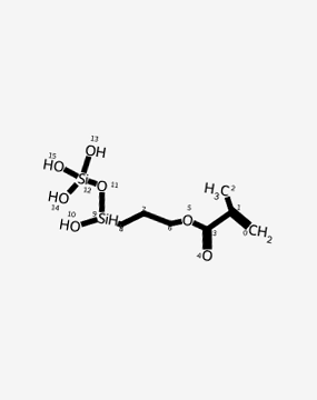 C=C(C)C(=O)OCCC[SiH](O)O[Si](O)(O)O